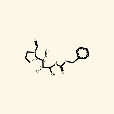 CO[C@H]([C@@H](C)C(O)NC(=O)OCc1ccccc1)[C@@H]1CCCN1C=O